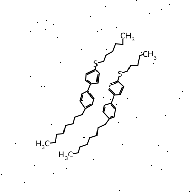 CCCCCCCCc1ccc(-c2ccc(SCCCCC)cc2)cc1.CCCCCCCCc1ccc(-c2ccc(SCCCCCC)cc2)cc1